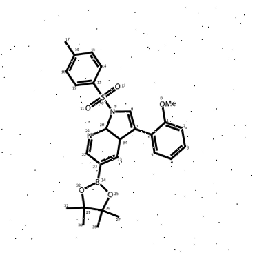 COc1ccccc1C1=CN(S(=O)(=O)c2ccc(C)cc2)C2N=CC(B3OC(C)(C)C(C)(C)O3)=CC12